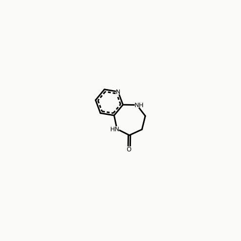 O=C1CCNc2ncccc2N1